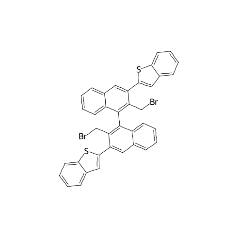 BrCc1c(-c2cc3ccccc3s2)cc2ccccc2c1-c1c(CBr)c(-c2cc3ccccc3s2)cc2ccccc12